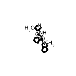 Cc1cncc(NS(=O)(=O)c2ccccc2C(=O)N(C)Cc2ccccc2F)c1